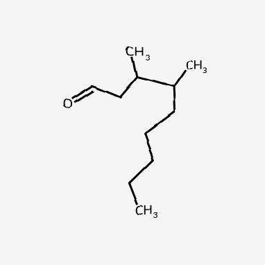 CCCCCC(C)C(C)CC=O